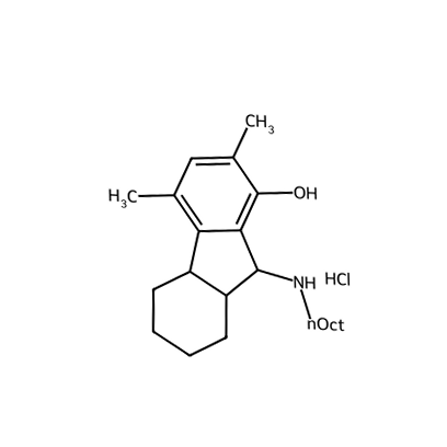 CCCCCCCCNC1c2c(O)c(C)cc(C)c2C2CCCCC21.Cl